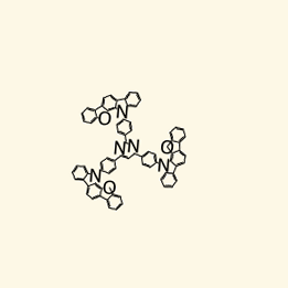 c1ccc2c(c1)oc1c2ccc2c3ccccc3n(-c3ccc(-c4cc(-c5ccc(-n6c7ccccc7c7ccc8c9ccccc9oc8c76)cc5)nc(-c5ccc(-n6c7ccccc7c7ccc8c9ccccc9oc8c76)cc5)n4)cc3)c21